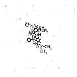 C=CCN(CCC)C1Cc2c(F)c3c(c(OCc4ccccc4)c2NC1=O)C(=O)C1=C(O)[C@]2(O)C(=O)c4c(OCc5ccccc5)noc4[C@@H](N(C)CC)[C@@H]2C[C@@H]1C3